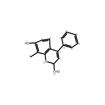 Cc1c(O)ccc2c1OC(C=O)C=C2c1ccccc1